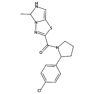 CC1NC=C2SC(C(=O)N3CCCC3c3ccc(Cl)cc3)=NN21